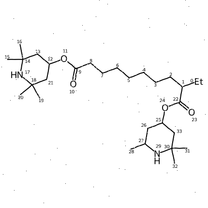 CCC(CCCCCCCC(=O)OC1CC(C)(C)NC(C)(C)C1)C(=O)OC1CC(C)NC(C)(C)C1